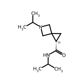 CC(C)NC(=O)[C@H]1CC12CN(C(C)C)C2